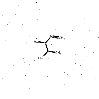 C=N[C@H](C(C)=O)[C@@H](C)O